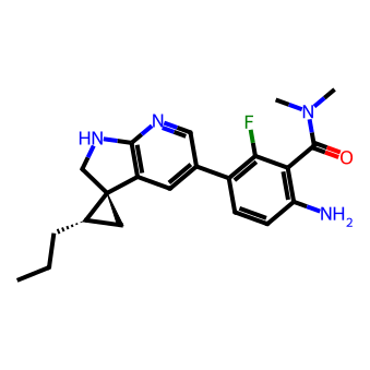 CCC[C@H]1C[C@]12CNc1ncc(-c3ccc(N)c(C(=O)N(C)C)c3F)cc12